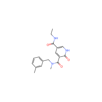 CCNC(=O)c1c[nH]c(=O)c(C(=O)N(C)Cc2cccc(C)c2)c1